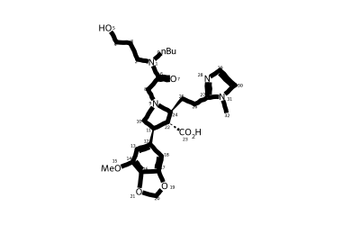 CCCCN(CCCO)C(=O)CN1C[C@H](c2cc(OC)c3c(c2)OCO3)[C@@H](C(=O)O)[C@@H]1CCc1nccn1C